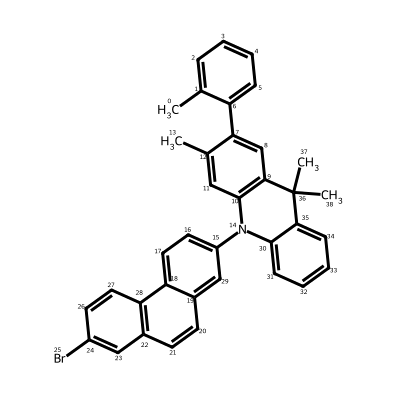 Cc1ccccc1-c1cc2c(cc1C)N(c1ccc3c(ccc4cc(Br)ccc43)c1)c1ccccc1C2(C)C